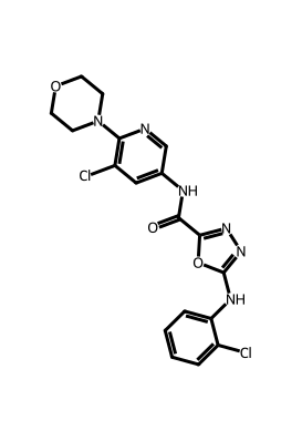 O=C(Nc1cnc(N2CCOCC2)c(Cl)c1)c1nnc(Nc2ccccc2Cl)o1